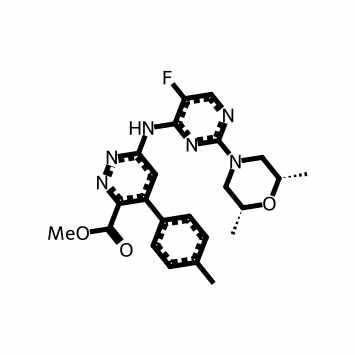 COC(=O)c1nnc(Nc2nc(N3C[C@@H](C)O[C@@H](C)C3)ncc2F)cc1-c1ccc(C)cc1